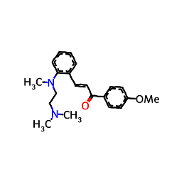 COc1ccc(C(=O)C=Cc2ccccc2N(C)CCN(C)C)cc1